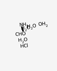 Cl.NC=O.O.O.O.O